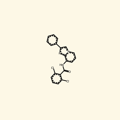 O=C(Nc1cccn2cc(-c3ccccc3)nc12)c1c(Cl)cccc1Cl